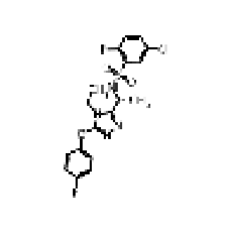 CCn1c(Oc2ccc(F)cc2)nnc1[C@@H](C)NS(=O)(=O)c1cc(Cl)ccc1F